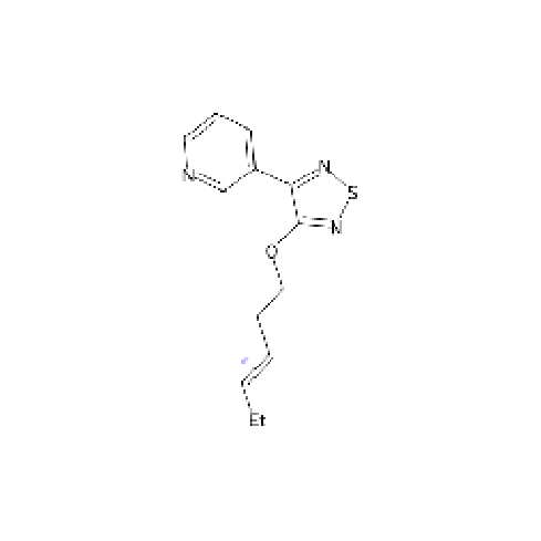 CC/C=C/CCOc1nsnc1-c1cccnc1